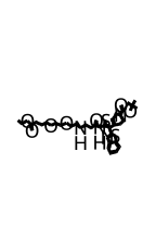 CCOC(=O)CCCOCCOCCNCCC(=O)Nc1sc2c(c1-c1nc3ccccc3s1)CCN(C(=O)OC(C)(C)C)C2